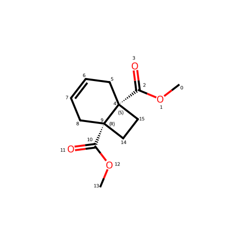 COC(=O)[C@@]12CC=CC[C@]1(C(=O)OC)CC2